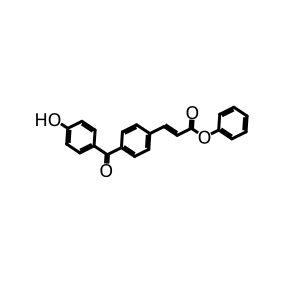 O=C(C=Cc1ccc(C(=O)c2ccc(O)cc2)cc1)Oc1ccccc1